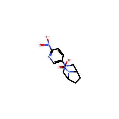 O=C(O)N1C2CCC1CN(c1ccc([N+](=O)[O-])nc1)C2